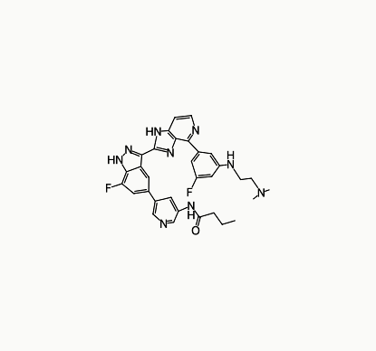 CCCC(=O)Nc1cncc(-c2cc(F)c3[nH]nc(-c4nc5c(-c6cc(F)cc(NCCN(C)C)c6)nccc5[nH]4)c3c2)c1